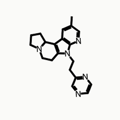 Cc1cnc2c(c1)c1c(n2CCc2cnccn2)CCN2CCCC12